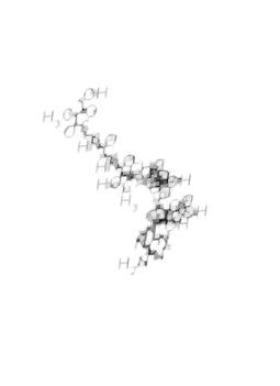 CC(C(=O)CO)C(=O)SCCNC(=O)CCNC(=O)[C@H](O)C(C)(C)COP(=O)(O)OP(=O)(O)OC[C@H]1O[C@@H](n2cnc3c(N)ncnc32)[C@H](O)[C@@H]1OP(=O)(O)O